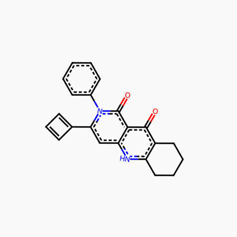 O=c1c2c([nH]c3cc(C4=CC=C4)n(-c4ccccc4)c(=O)c13)CCCC2